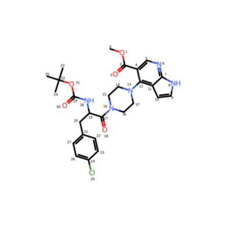 COC(=O)c1cnc2[nH]ccc2c1N1CCN(C(=O)C(Cc2ccc(Cl)cc2)NC(=O)OC(C)(C)C)CC1